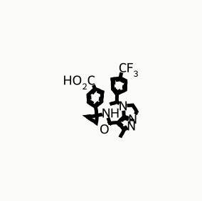 Cc1nn2c(c1C(=O)NC1(c3ccc(C(=O)O)cc3)CC1)N(C(C)c1ccc(C(F)(F)F)cc1)CC2